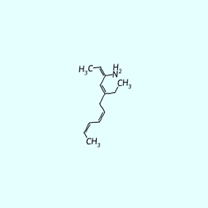 C/C=C\C=C/C/C(=C/C(N)=C\C)CC